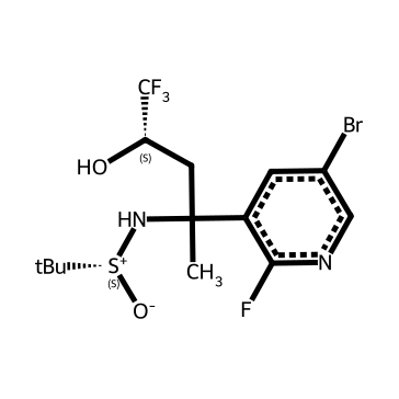 CC(C[C@H](O)C(F)(F)F)(N[S@+]([O-])C(C)(C)C)c1cc(Br)cnc1F